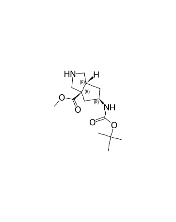 COC(=O)[C@@]12CNC[C@@H]1C[C@@H](NC(=O)OC(C)(C)C)C2